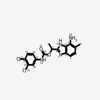 Cc1ccc2nc(C(C)OC(=O)Nc3ccc(Cl)c(Cl)c3)[nH]c2c1N